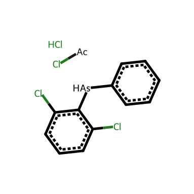 CC(=O)Cl.Cl.Clc1cccc(Cl)c1[AsH]c1ccccc1